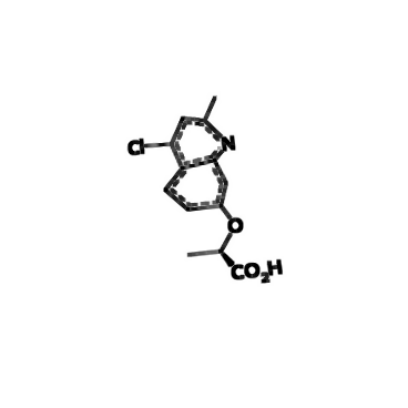 Cc1cc(Cl)c2ccc(O[C@H](C)C(=O)O)cc2n1